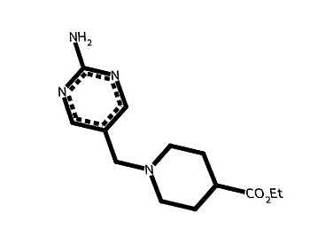 CCOC(=O)C1CCN(Cc2cnc(N)nc2)CC1